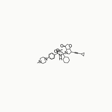 CN1CCN(c2ccc(C(=O)NC(C=O)(C3CCCCC3)N3CC(C#CC4CC4)C4OCC(=O)C43)cc2)CC1